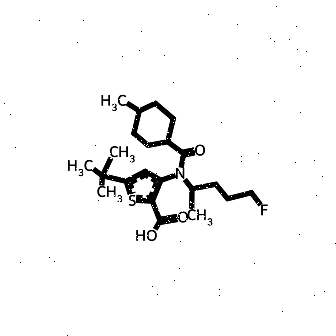 CC1CCC(C(=O)N(c2cc(C(C)(C)C)sc2C(=O)O)C(C)CCCF)CC1